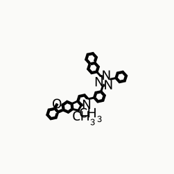 CC1(C)c2cc3c(cc2-c2ccc(-c4cccc(-c5nc(-c6ccccc6)nc(-c6ccc7ccccc7c6)n5)c4)nc21)oc1ccccc13